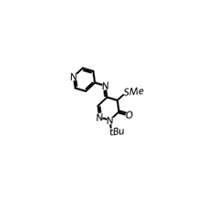 CSC1C(=O)N(C(C)(C)C)N=CC1=Nc1ccncc1